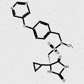 CN(Cc1ccc(Oc2cncnc2)cc1)S(=O)(=O)C[C@@]1(C2CC2)NC(=O)NC1=O